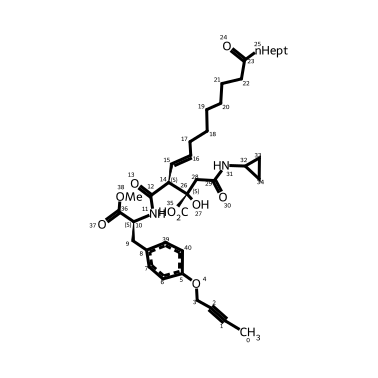 CC#CCOc1ccc(C[C@H](NC(=O)[C@@H](C=CCCCCCCC(=O)CCCCCCC)[C@@](O)(CC(=O)NC2CC2)C(=O)O)C(=O)OC)cc1